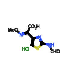 CON=C(C(=O)O)c1csc(NC=O)n1.Cl